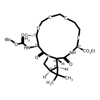 CCOC(=O)[C@@H]1CCCCCCCO[C@@H](C)[C@H](NC(=O)OC(C)(C)C)C(=O)N2C[C@H]3[C@@H]([C@H]2C(=O)N1)C3(C)C